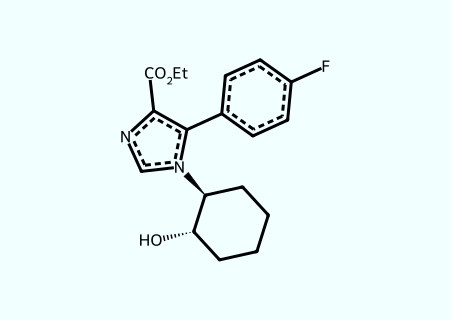 CCOC(=O)c1ncn([C@H]2CCCC[C@@H]2O)c1-c1ccc(F)cc1